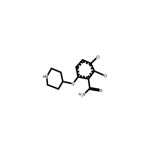 NC(=O)c1c(OC2CCNCC2)ccc(Cl)c1Cl